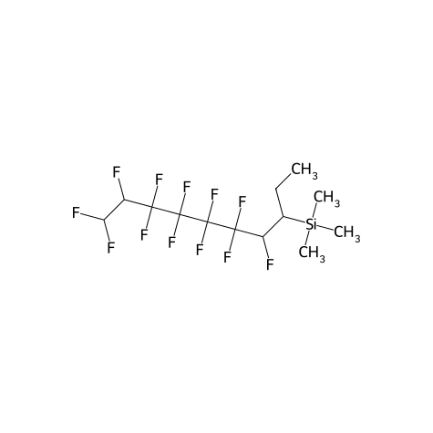 CCC(C(F)C(F)(F)C(F)(F)C(F)(F)C(F)(F)C(F)C(F)F)[Si](C)(C)C